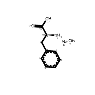 Cl.N[C@@H](Cc1ccccc1)C(=O)O.[Na]